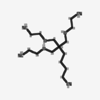 N#CCCCCC(COCCC#N)(COCCC#N)COCCC#N